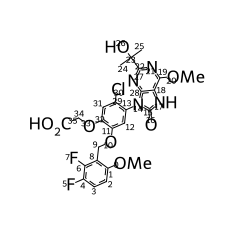 COc1ccc(F)c(F)c1COc1cc(-n2c(=O)[nH]c3c(OC)nc(C(C)(C)O)nc32)c(Cl)cc1OCC(=O)O